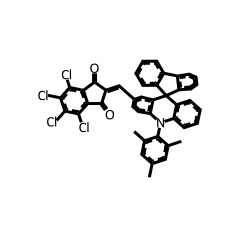 Cc1cc(C)c(N2c3ccccc3C3(c4ccccc4-c4ccccc43)c3cc(C=C4C(=O)c5c(Cl)c(Cl)c(Cl)c(Cl)c5C4=O)ccc32)c(C)c1